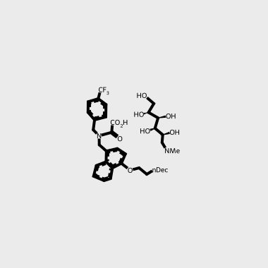 CCCCCCCCCCCCOc1ccc(CN(Cc2ccc(C(F)(F)F)cc2)C(=O)C(=O)O)c2ccccc12.CNC[C@H](O)[C@@H](O)[C@H](O)[C@H](O)CO